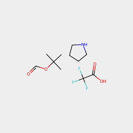 C1CCNC1.CC(C)(C)OC=O.O=C(O)C(F)(F)F